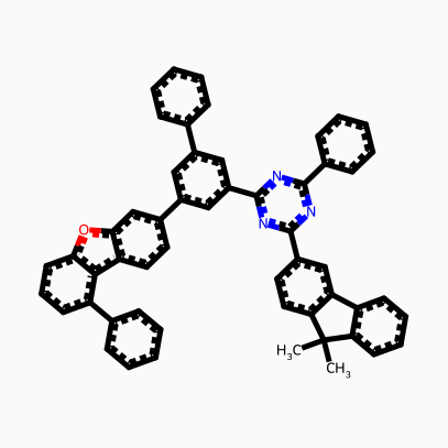 CC1(C)c2ccccc2-c2cc(-c3nc(-c4ccccc4)nc(-c4cc(-c5ccccc5)cc(-c5ccc6c(c5)oc5cccc(-c7ccccc7)c56)c4)n3)ccc21